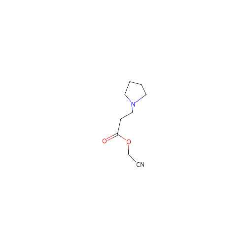 N#CCOC(=O)CCN1CCCC1